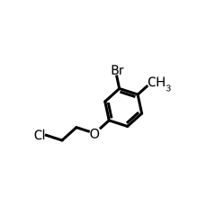 Cc1ccc(OCCCl)cc1Br